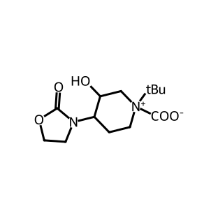 CC(C)(C)[N+]1(C(=O)[O-])CCC(N2CCOC2=O)C(O)C1